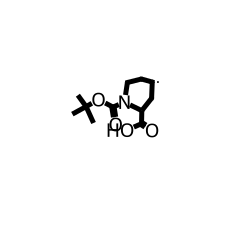 CC(C)(C)OC(=O)N1CC[CH]CC1C(=O)O